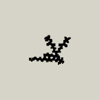 CC(C)(C)OC(=O)NCCCN(CCCNC(=O)OC(C)(C)C)/C(=N/C(=O)C(F)(F)F)N1CCc2cc(OCCON)ccc2C1